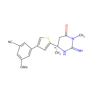 COc1cc(C#N)cc(-c2csc([C@@]3(C)CC(=O)N(C)C(=N)N3)c2)c1